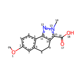 COc1ccc2c(c1)CCc1c-2nn(C)c1C(=O)O